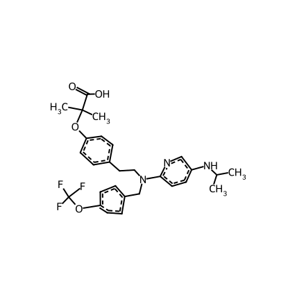 CC(C)Nc1ccc(N(CCc2ccc(OC(C)(C)C(=O)O)cc2)Cc2ccc(OC(F)(F)F)cc2)nc1